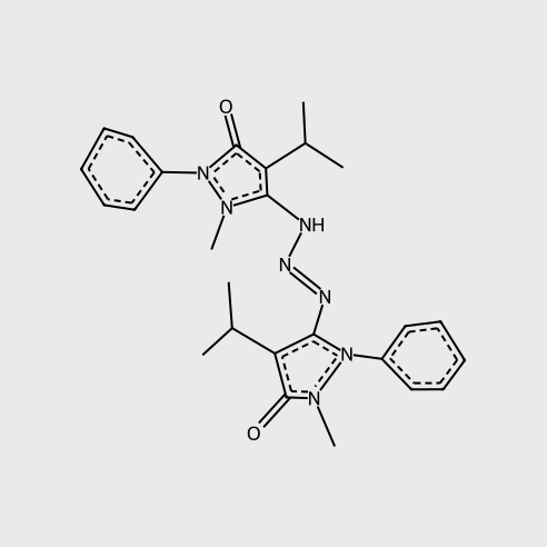 CC(C)c1c(N=NNc2c(C(C)C)c(=O)n(-c3ccccc3)n2C)n(-c2ccccc2)n(C)c1=O